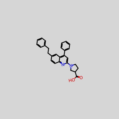 O=C(O)C1CCN(c2cc(-c3ccccc3)c3cc(CCc4ccccc4)ccc3n2)C1